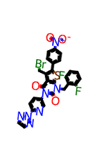 O=c1c2c(CBr)c(-c3ccc([N+](=O)[O-])cc3)sc2n(Cc2c(F)cccc2F)c(=O)n1-c1ccc(-n2nccn2)nc1